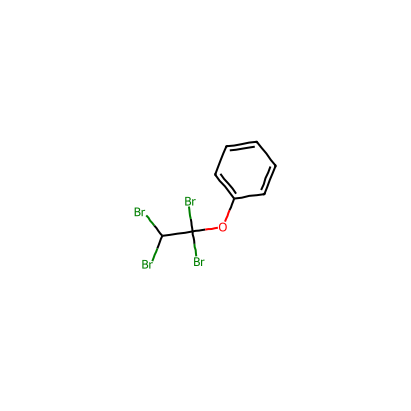 BrC(Br)C(Br)(Br)Oc1ccccc1